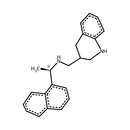 C[C@@H](NCC1CNc2ccccc2C1)c1cccc2ccccc12